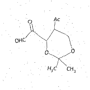 CC(=O)C1COC(C)(C)OC1C(=O)C=O